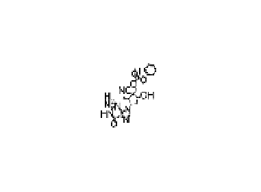 C=C1[C@@H](n2cnc3c(=O)[nH]c(N)nc32)C[C@H](O)[C@@]1(C#N)CO[PH](=O)Oc1ccccc1